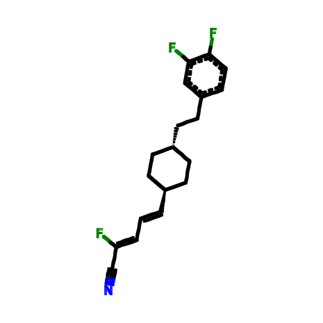 N#CC(F)=CC=C[C@H]1CC[C@H](CCc2ccc(F)c(F)c2)CC1